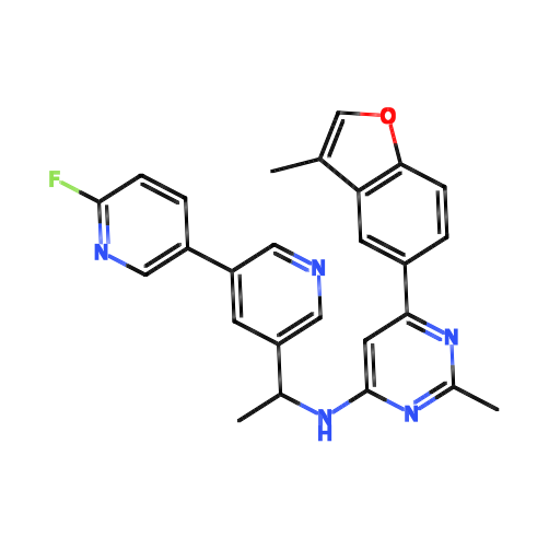 Cc1nc(NC(C)c2cncc(-c3ccc(F)nc3)c2)cc(-c2ccc3occ(C)c3c2)n1